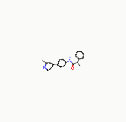 Cc1cc(-c2ccc(NC(=O)[C@H](C)c3ccccc3)cc2)ccn1